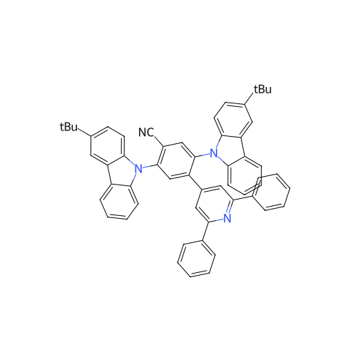 CC(C)(C)c1ccc2c(c1)c1ccccc1n2-c1cc(-c2cc(-c3ccccc3)nc(-c3ccccc3)c2)c(-n2c3ccccc3c3cc(C(C)(C)C)ccc32)cc1C#N